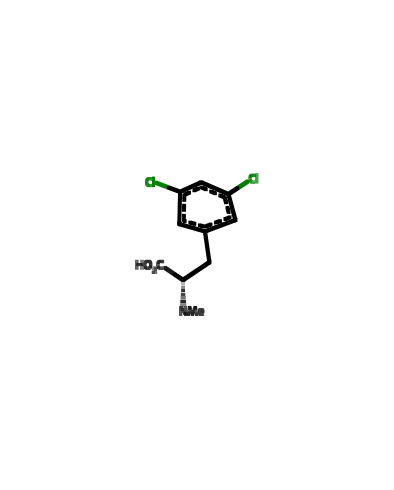 CN[C@@H](Cc1cc(Cl)cc(Cl)c1)C(=O)O